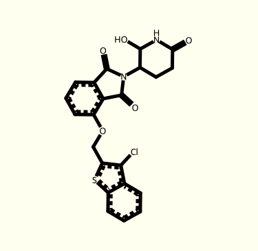 O=C1CCC(N2C(=O)c3cccc(OCc4sc5ccccc5c4Cl)c3C2=O)C(O)N1